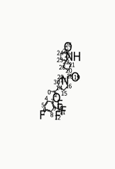 CC(Oc1ccc(F)cc1C(F)(F)F)C1CCN(C(=O)[C@H]2C[C@]3(CCC(=O)N3)C2)CC1